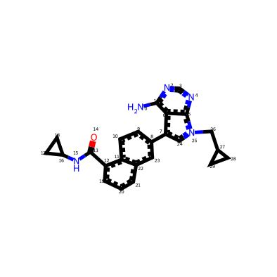 Nc1ncnc2c1c(-c1ccc3c(C(=O)NC4CC4)cccc3c1)cn2CC1CC1